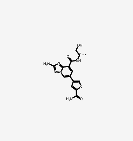 C[C@@H](CO)NC(=O)c1cc(-c2csc(C(N)=O)c2)cn2nc(N)nc12